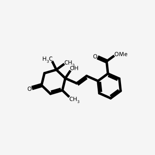 COC(=O)c1ccccc1C=CC1(O)C(C)=CC(=O)CC1(C)C